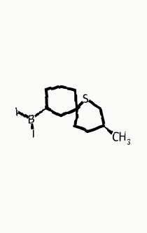 C[C@H]1CCC2(CCC[C@H](B(I)I)C2)SC1